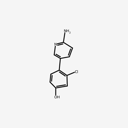 Nc1ccc(-c2ccc(O)cc2Cl)cn1